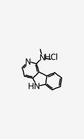 CN(C)c1nccc2[nH]c3ccccc3c12.Cl